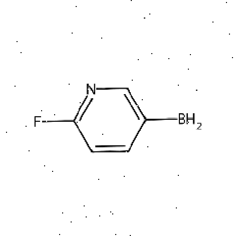 Bc1ccc(F)nc1